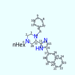 CCCCCCN1CCN(Cc2ccccc2)C(c2ncc(-c3ccc4ccccc4c3)[nH]2)C1